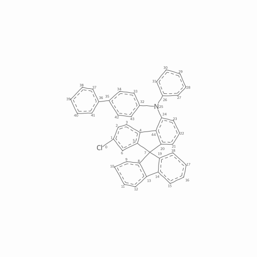 Clc1ccc2c(c1)C1(c3ccccc3-c3ccccc31)c1cccc(N(c3ccccc3)c3ccc(-c4ccccc4)cc3)c1-2